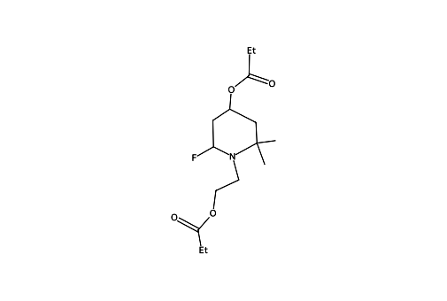 CCC(=O)OCCN1C(F)CC(OC(=O)CC)CC1(C)C